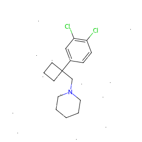 Clc1ccc(C2(CN3CCCCC3)CCC2)cc1Cl